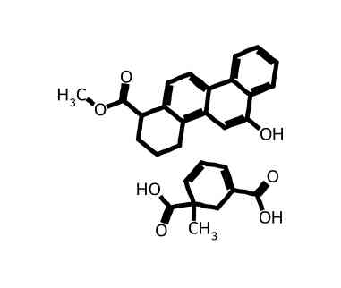 CC1(C(=O)O)C=CC=C(C(=O)O)C1.COC(=O)C1CCCc2c1ccc1c2cc(O)c2ccccc21